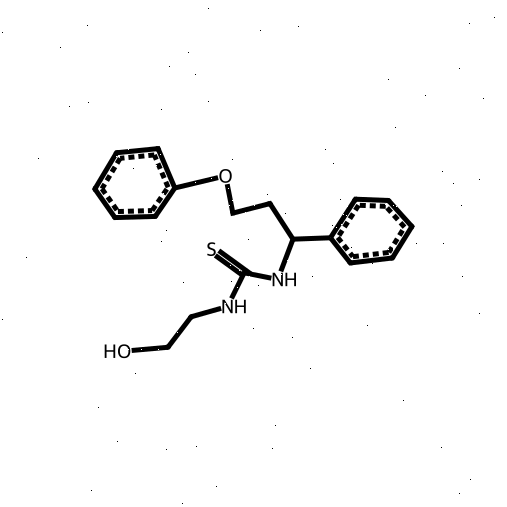 OCCNC(=S)NC(CCOc1ccccc1)c1ccccc1